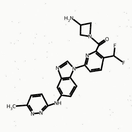 Cc1ccc(Nc2ccc3c(c2)ncn3-c2ccc(C(F)F)c(C(=O)N3CC(N)C3)n2)nn1